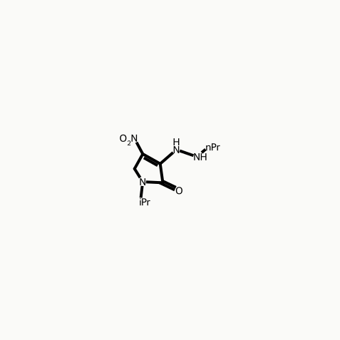 CCCNNC1=C([N+](=O)[O-])CN(C(C)C)C1=O